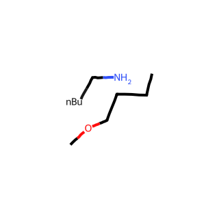 CCCCCN.CCCCOC